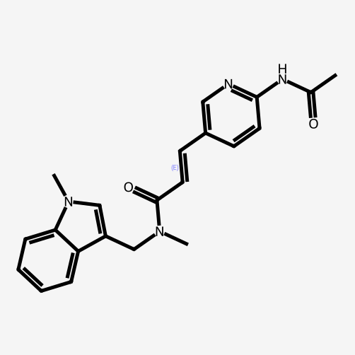 CC(=O)Nc1ccc(/C=C/C(=O)N(C)Cc2cn(C)c3ccccc23)cn1